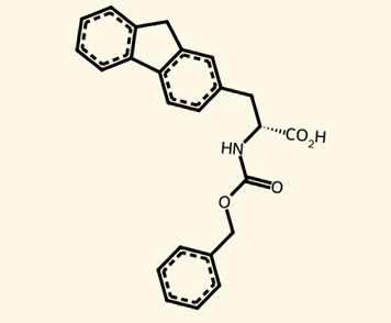 O=C(N[C@H](Cc1ccc2c(c1)Cc1ccccc1-2)C(=O)O)OCc1ccccc1